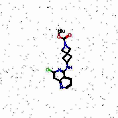 CC(C)(C)OC(=O)N1CC2(CC(Nc3nc(Cl)cc4ncccc34)C2)C1